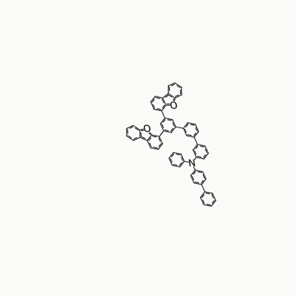 c1ccc(-c2ccc(N(c3ccccc3)c3cccc(-c4cccc(-c5cc(-c6cccc7c6oc6ccccc67)cc(-c6cccc7c6oc6ccccc67)c5)c4)c3)cc2)cc1